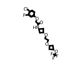 O=C(COc1ccc(Cl)c(F)c1)N[C@H]1C[C@@H](OCCO[C@H]2C[C@@H](OC(F)(F)F)C2)C1